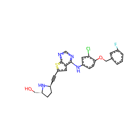 OC[C@H]1CC[C@H](C#Cc2cc3c(Nc4ccc(OCc5cccc(F)c5)c(Cl)c4)ncnc3s2)N1